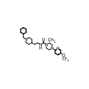 C[C@@H]1CN(c2ccc(OC(F)(F)F)cn2)CCN1C(=O)NCCC1CCN(Cc2ccccc2)CC1